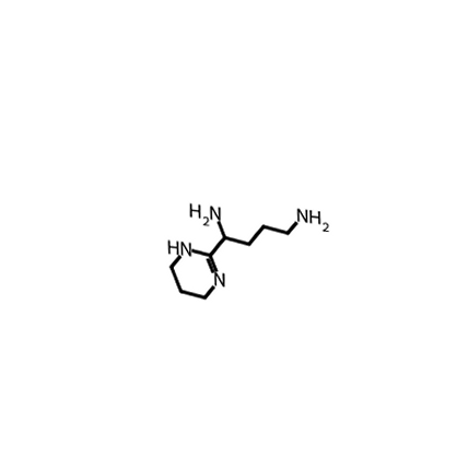 NCCCC(N)C1=NCCCN1